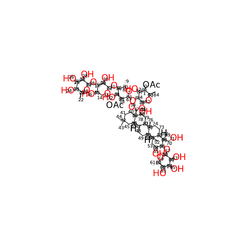 CC(=O)O[C@@H]1[C@H](O)[C@@H](O[C@@H]2O[C@@H](C)[C@H](O[C@@H]3OC[C@@H](O)[C@H](O[C@@H]4O[C@@H](C)[C@H](O)[C@@H](O)[C@H]4O)[C@H]3O)[C@@H](O)[C@H]2OC(C)=O)[C@H](OC(=O)[C@]23CCC(C)(C)C[C@H]2C2=CC[C@@H]4[C@@]5(C)C[C@H](O)[C@H](O[C@@H]6O[C@@H](C)[C@H](O)[C@@H](O)[C@H]6O)[C@@](C)(CO)[C@@H]5CC[C@@]4(C)[C@]2(C)C[C@H]3O)O[C@@H]1C